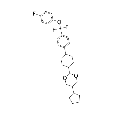 Fc1ccc(OC(F)(F)c2ccc(C3CCC(C4OCC(C5CCCC5)CO4)CC3)cc2)cc1